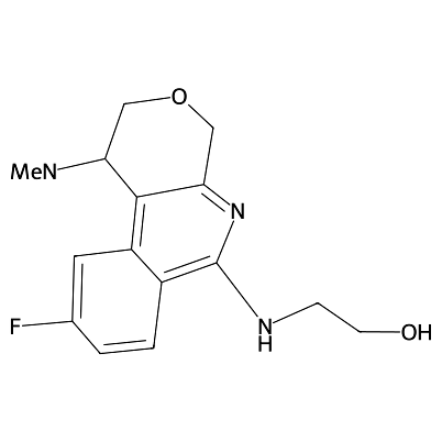 CNC1COCc2nc(NCCO)c3ccc(F)cc3c21